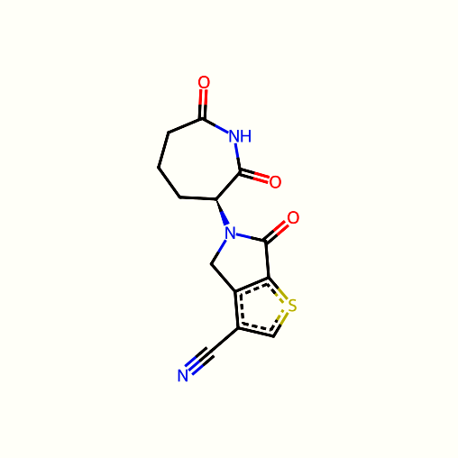 N#Cc1csc2c1CN([C@H]1CCCC(=O)NC1=O)C2=O